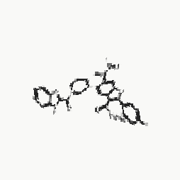 CNC(=O)c1c(-c2ccc(F)cc2)oc2cc(N(C)[S@+](C)[O-])c([C@H]3CCCN(C(=O)c4nc5ccccc5[nH]4)C3)cc12